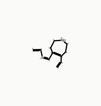 C=C/N=C\C1=C(C=C)CCNCC1